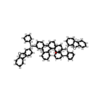 c1ccc(-c2ccccc2N(c2ccc3c(ccc4c5ccc(N(c6ccccc6)c6ccc7c(c6)oc6ccccc67)cc5c5ccccc5c34)c2)c2cccc3c2oc2ccccc23)cc1